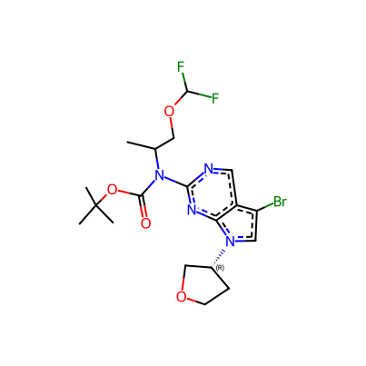 CC(COC(F)F)N(C(=O)OC(C)(C)C)c1ncc2c(Br)cn([C@@H]3CCOC3)c2n1